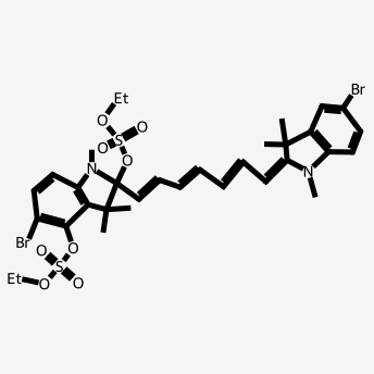 CCOS(=O)(=O)Oc1c(Br)ccc2c1C(C)(C)C(C=CC=CC=CC=C1N(C)c3ccc(Br)cc3C1(C)C)(OS(=O)(=O)OCC)N2C